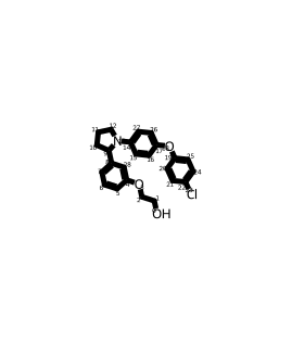 OCCOc1cccc(C2CCCN2c2ccc(Oc3ccc(Cl)cc3)cc2)c1